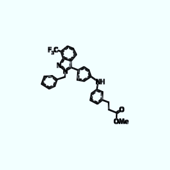 COC(=O)CCc1cccc(Nc2ccc(-c3c4cccc(C(F)(F)F)c4nn3Cc3ccccc3)cc2)c1